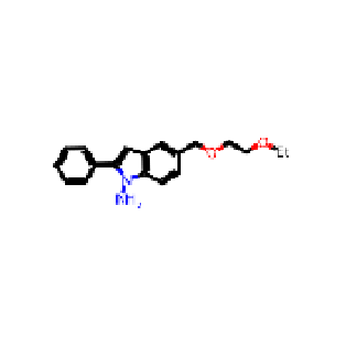 CCOCCOCc1ccc2c(c1)cc(-c1ccccc1)n2N